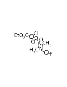 CCOC(=O)c1cc(Cl)c(OCC(=O)N2CC(C)N(Cc3ccc(F)cc3)C[C@@H]2C)c(Cl)c1